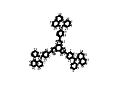 c1ccc(C(c2ccc(-c3cc4c(s3)c3cc(-c5ccc(N(c6ccccc6)c6cccc7ccccc67)cc5)sc3c3cc(-c5ccc(N(c6ccccc6)c6cccc7ccccc67)cc5)sc43)cc2)c2cccc3ccccc23)cc1